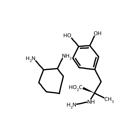 C[C@@](Cc1ccc(O)c(O)c1)(NN)C(=O)O.NC1CCCCC1N